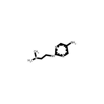 CN(C)CCNc1ncc(N)cn1